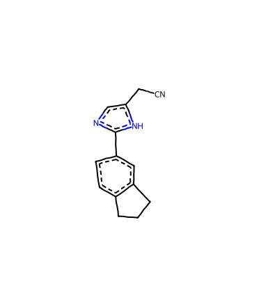 N#CCc1cnc(-c2ccc3c(c2)CCC3)[nH]1